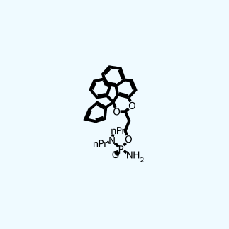 CCCN(CCC)P(N)(=O)OCCC1Oc2ccc3ccccc3c2C(c2ccccc2)(c2ccccc2)O1